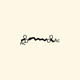 CC(=O)CC(=O)OC#CCCCCCCCOC(=O)CC(C)=O